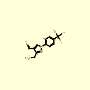 CCc1nn(-c2ccc(C(F)(F)F)cc2)cc1C=O